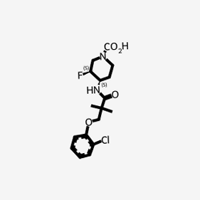 CC(C)(COc1ccccc1Cl)C(=O)N[C@H]1CCN(C(=O)O)C[C@@H]1F